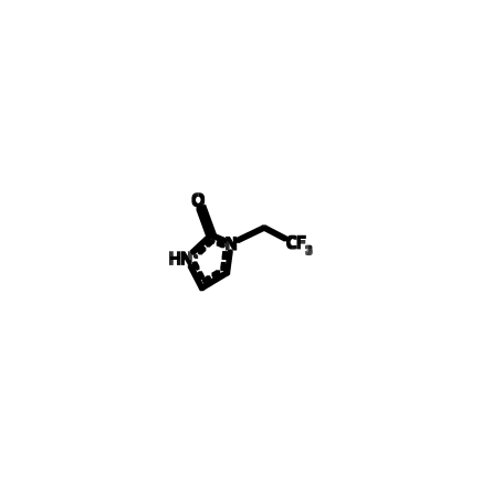 O=c1[nH]ccn1CC(F)(F)F